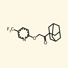 O=C(COc1ccc(C(F)(F)F)cn1)C12CC3CC(CC(C3)C1)C2